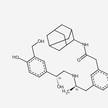 C[C@H](Cc1cccc(CC(=O)NC2C3CC4CC(C3)CC2C4)c1)NC[C@H](O)c1ccc(O)c(CO)c1